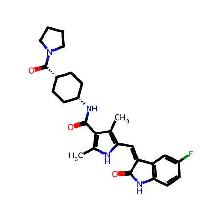 Cc1[nH]c(/C=C2\C(=O)Nc3ccc(F)cc32)c(C)c1C(=O)N[C@H]1CC[C@@H](C(=O)N2CCCC2)CC1